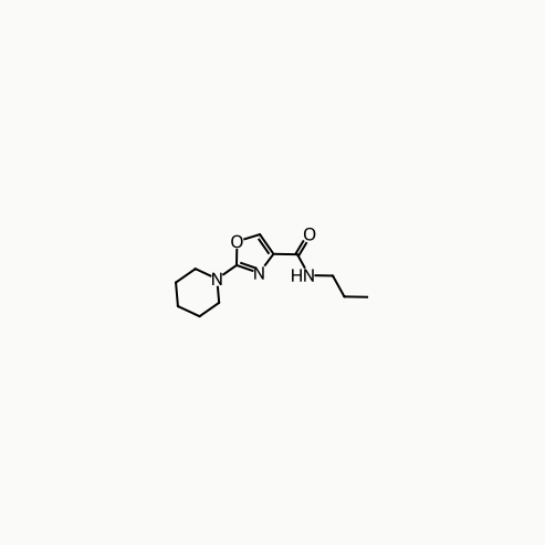 CCCNC(=O)c1coc(N2CCCCC2)n1